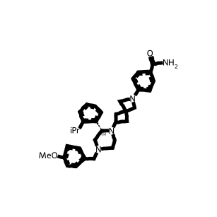 COc1ccc(CN2CCN(C3CC4(C3)CN(c3ccc(C(N)=O)cc3)C4)[C@@H](c3ccccc3C(C)C)C2)cc1